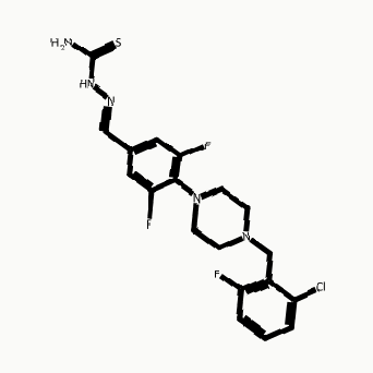 NC(=S)N/N=C/c1cc(F)c(N2CCN(Cc3c(F)cccc3Cl)CC2)c(F)c1